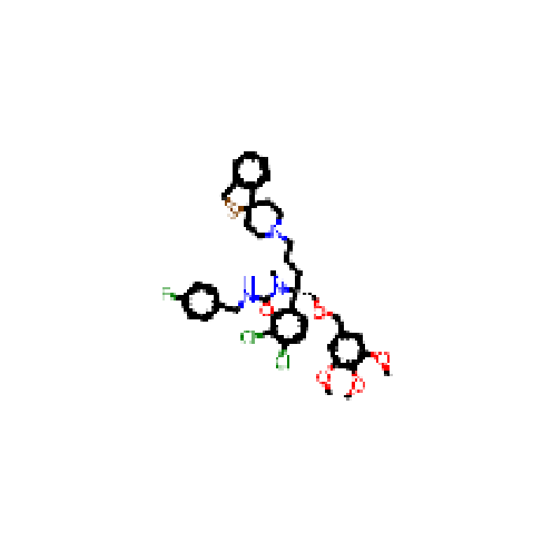 COc1cc(COC[C@](CCCN2CCC3(CC2)SCc2ccccc23)(c2ccc(Cl)c(Cl)c2)N(C)C(=O)NCc2ccc(F)cc2)cc(OC)c1OC